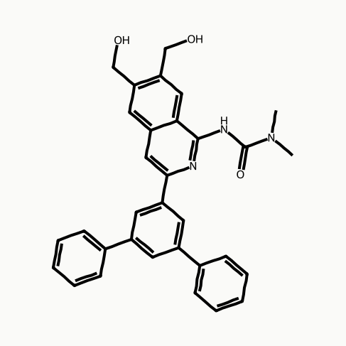 CN(C)C(=O)Nc1nc(-c2cc(-c3ccccc3)cc(-c3ccccc3)c2)cc2cc(CO)c(CO)cc12